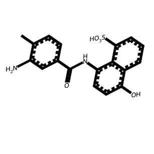 Cc1ccc(C(=O)Nc2ccc(O)c3cccc(S(=O)(=O)O)c23)cc1N